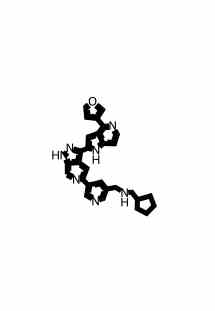 c1cc2[nH]c(-c3n[nH]c4cnc(-c5cncc(CNCC6CCCC6)c5)cc34)cc2c(-c2ccoc2)n1